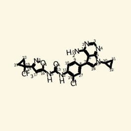 Nc1ncnc2c1c(-c1ccc(NC(=O)Nc3cc(C4(C(F)(F)F)CC4)no3)c(Cl)c1)cn2C1CC1